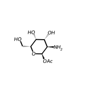 CC(=O)O[C@H]1O[C@H](CO)[C@H](O)[C@H](O)[C@H]1N